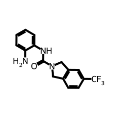 Nc1ccccc1NC(=O)N1Cc2ccc(C(F)(F)F)cc2C1